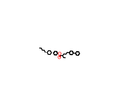 CCCCC[C@H]1CC[C@H](c2ccc(OC(=O)C(CC)CCCc3ccc(-c4ccccc4)cc3)cc2)CC1